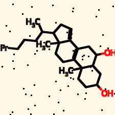 CC(C)CCCC(C)C1CC=C2C3=C(CCC21C)C1(C)CCC(O)CC1C(O)C3